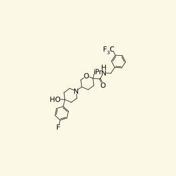 CC(C)C1(C(=O)NCc2cccc(C(F)(F)F)c2)CCC(N2CCC(O)(c3ccc(F)cc3)CC2)CO1